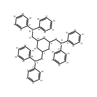 c1ccc(P(CC2CC(CP(c3ccccc3)c3ccccc3)CC(CP(c3ccccc3)c3ccccc3)C2)c2ccccc2)cc1